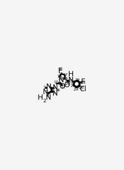 Nc1ncnc2c1ncn2CC(=O)N1C[C@H](F)C[C@H]1C(=O)Nc1ccc(Cl)c(F)c1